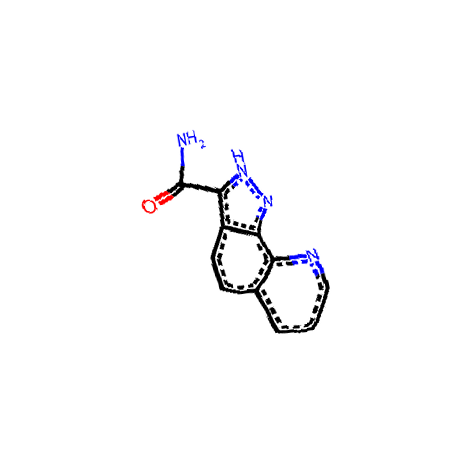 NC(=O)c1[nH]nc2c1ccc1cccnc12